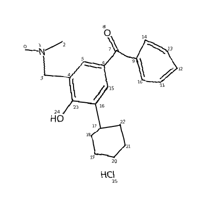 CN(C)Cc1cc(C(=O)c2ccccc2)cc(C2CCCCC2)c1O.Cl